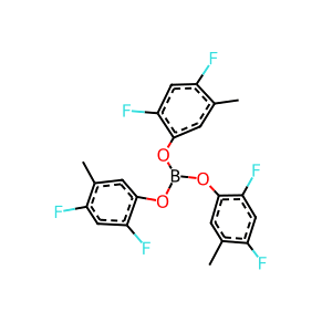 Cc1cc(OB(Oc2cc(C)c(F)cc2F)Oc2cc(C)c(F)cc2F)c(F)cc1F